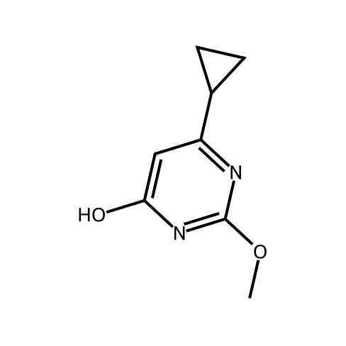 COc1nc(O)cc(C2CC2)n1